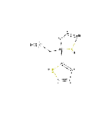 O=C(O)CC1(c2cccs2)CC=CS1